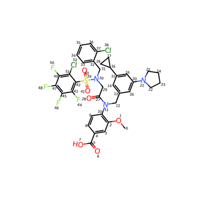 COc1cc(C(=O)O)ccc1N(Cc1cc(C2CC2)cc(N2CCCC2)c1)C(=O)CN(Cc1ccccc1Cl)S(=O)(=O)c1c(F)c(F)c(F)c(F)c1Cl